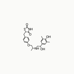 Cc1cc(C(O)CNC(C)COc2ccc(CC3SC(=O)NC3=O)cc2)cc(C)c1O